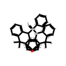 CC1(C)c2ccccc2C(P(=S)(c2ccccc2)N2c3ccccc3C(C)(C)c3ccccc32)c2ccccc21